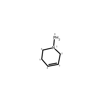 PN1CC=CCC1